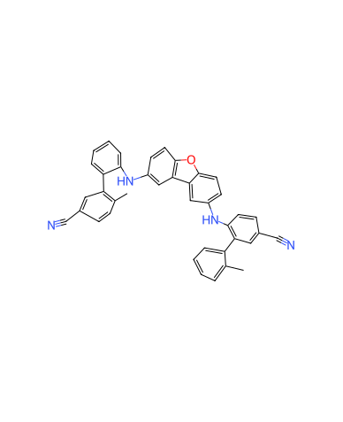 Cc1ccccc1-c1cc(C#N)ccc1Nc1ccc2oc3ccc(Nc4ccccc4-c4cc(C#N)ccc4C)cc3c2c1